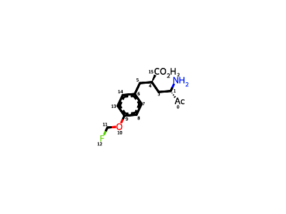 CC(=O)[C@@H](N)C[C@@H](Cc1ccc(OCF)cc1)C(=O)O